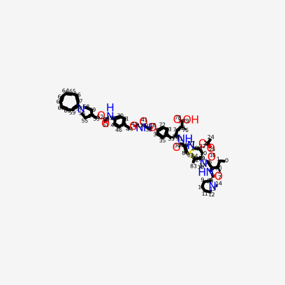 CC[C@@H](C)C(NC(=O)[C@H]1CCCCN1C)C(=O)N(C)[C@H](CC(OC(C)=O)c1nc(C(=O)N[C@@H](Cc2ccc(OCC(=O)NOCc3ccc(NC(=O)OCC4CCN(c5ccccccccc5)CC4)cc3)cc2)C[C@H](C)C(=O)O)cs1)C(C)C